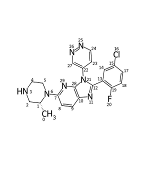 C[C@@H]1CNCCN1c1ccc2nc(-c3cc(Cl)ccc3F)n(-c3ccnnc3)c2n1